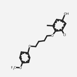 Cc1cc(O)cc(Cl)c1OCCCCOc1ccc(OC(F)(F)F)cc1